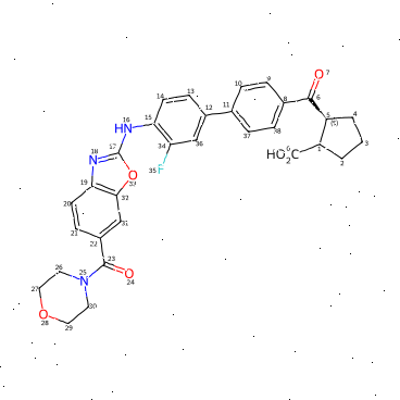 O=C(O)C1CCC[C@@H]1C(=O)c1ccc(-c2ccc(Nc3nc4ccc(C(=O)N5CCOCC5)cc4o3)c(F)c2)cc1